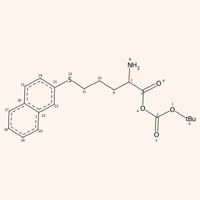 CC(C)(C)OC(=O)OC(=O)C(N)CCCSc1ccc2ccccc2c1